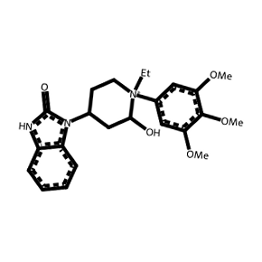 CC[N+]1(c2cc(OC)c(OC)c(OC)c2)CCC(n2c(=O)[nH]c3ccccc32)CC1O